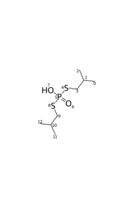 CC(C)CSP(=O)(O)SCC(C)C